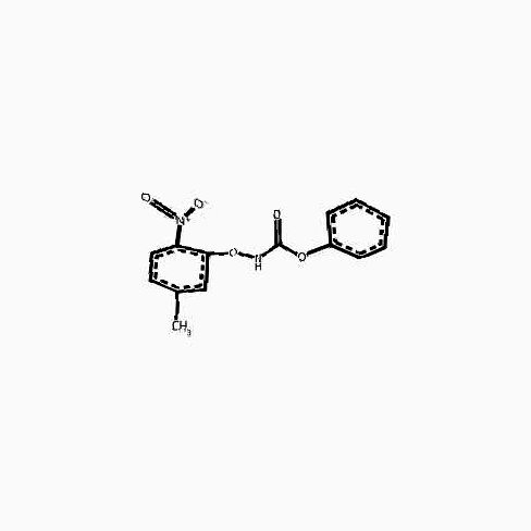 Cc1ccc([N+](=O)[O-])c(ONC(=O)Oc2ccccc2)c1